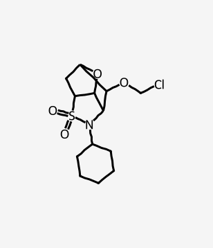 O=S1(=O)C2CC3OC2C(C3OCCl)N1C1CCCCC1